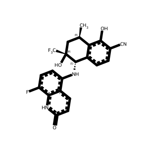 C[C@@H]1C[C@](O)(C(F)(F)F)[C@@H](Nc2ccc(F)c3[nH]c(=O)ccc23)c2ccc(C#N)c(O)c21